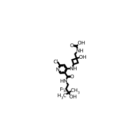 CC(C)(O)[C@H](F)CNC(=O)c1cnc(Cl)cc1NC1CC(O)(CNC(=O)O)C1